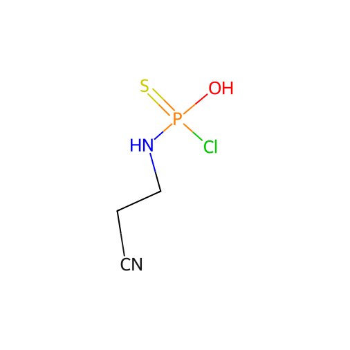 N#CCCNP(O)(=S)Cl